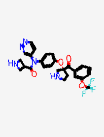 O=C(C1CNC1)N(c1ccc(O[C@]2(C(=O)c3cccc(OC(F)(F)F)c3)CCNC2)cc1)c1ccnnc1